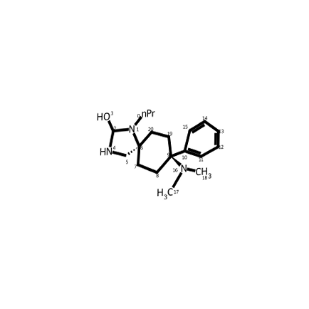 CCCN1C(O)NC[C@]12CC[C@](c1ccccc1)(N(C)C)CC2